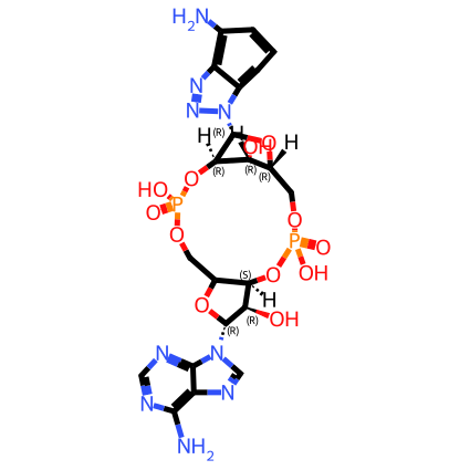 Nc1ncnc2c1ncn2[C@@H]1OC2COP(=O)(O)O[C@@H]3[C@H](O)[C@@H](COP(=O)(O)O[C@H]2[C@H]1O)O[C@H]3n1nnc2c(N)cccc21